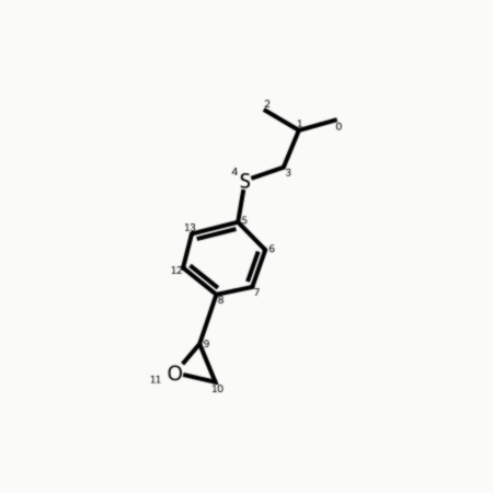 CC(C)CSc1ccc(C2CO2)cc1